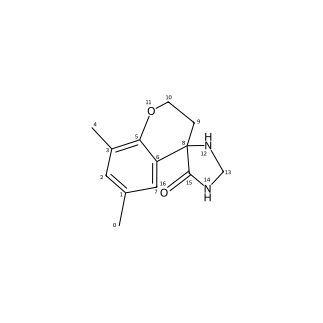 Cc1cc(C)c2c(c1)C1(CCO2)NCNC1=O